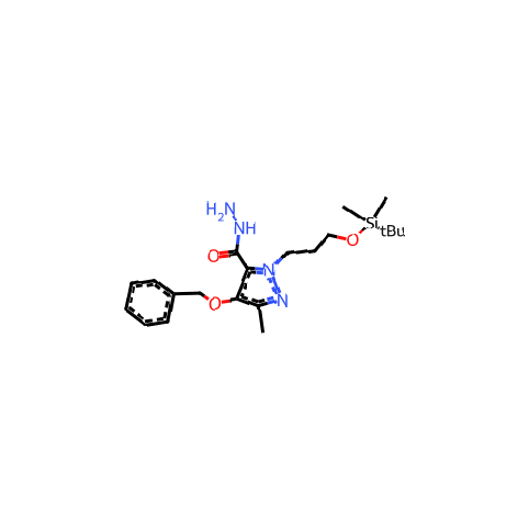 Cc1nn(CCCO[Si](C)(C)C(C)(C)C)c(C(=O)NN)c1OCc1ccccc1